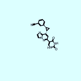 N#Cc1cccc([C@H]2C[C@@H]2c2cc(-c3c[nH]c(=O)[nH]c3=O)nn3ccnc23)c1